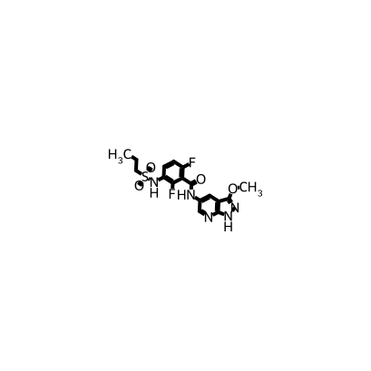 CCCS(=O)(=O)Nc1ccc(F)c(C(=O)Nc2cnc3[nH]nc(OC)c3c2)c1F